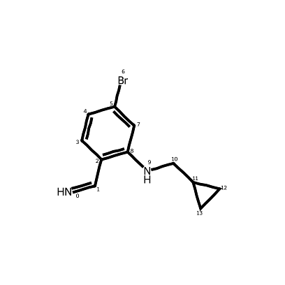 N=Cc1ccc(Br)cc1NCC1CC1